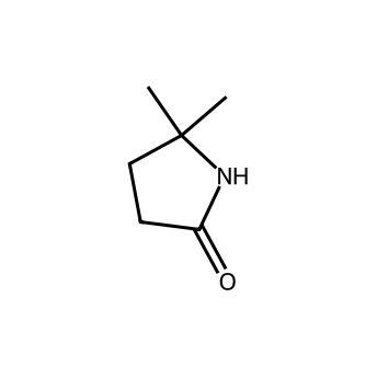 CC1(C)CCC(=O)N1